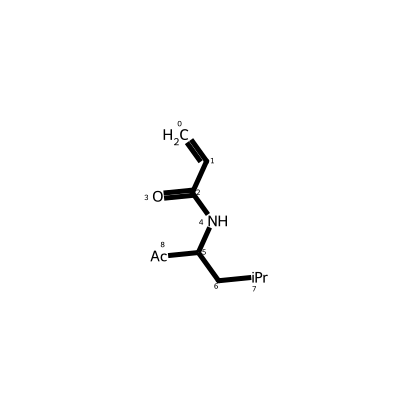 C=CC(=O)NC(CC(C)C)C(C)=O